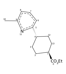 CCOC(=O)[C@H]1CC[C@H](c2cccc(C)n2)CC1